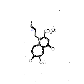 C/C=C/Cn1c(C(=O)OCC)cc(=O)c2cc(O)c(=O)ccc21